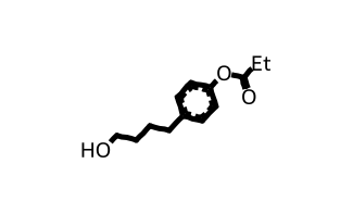 CCC(=O)Oc1ccc(CCCCO)cc1